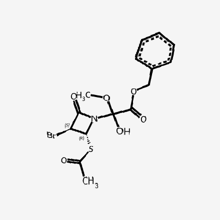 COC(O)(C(=O)OCc1ccccc1)N1C(=O)[C@H](Br)[C@H]1SC(C)=O